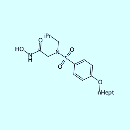 CCCCCCCOc1ccc(S(=O)(=O)N(CC(=O)NO)CC(C)C)cc1